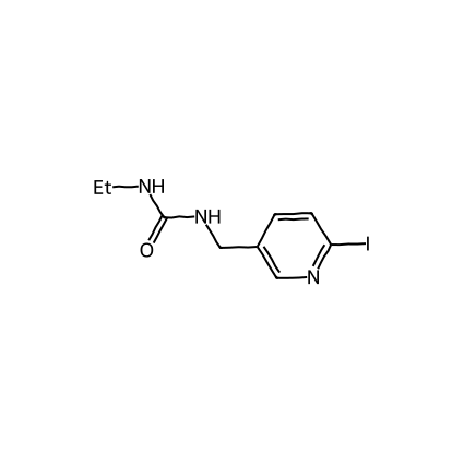 CCNC(=O)NCc1ccc(I)nc1